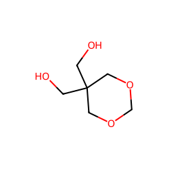 OCC1(CO)COCOC1